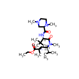 CCOC(=O)/C(C)=C/[C@H](C(C)C)N(C)C(=O)[C@@H](NC(=O)C1CN(C)CCN1C)C(C)(C)C